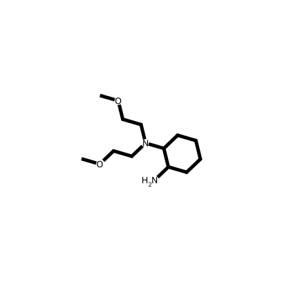 COCCN(CCOC)C1CCCCC1N